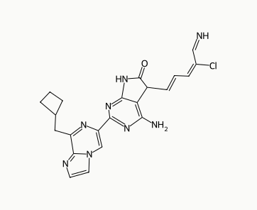 N=C/C(Cl)=C\C=C\C1C(=O)Nc2nc(-c3cn4ccnc4c(CC4CCC4)n3)nc(N)c21